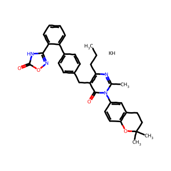 CCCc1nc(C)n(-c2ccc3c(c2)CCC(C)(C)O3)c(=O)c1Cc1ccc(-c2ccccc2-c2noc(=O)[nH]2)cc1.[KH]